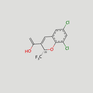 C=C(O)C1=Cc2cc(Cl)cc(Cl)c2O[C@@H]1C(F)(F)F